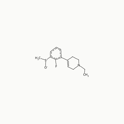 CCN1CC=C(c2cccc([S+](C)[O-])c2F)CC1